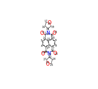 O=C1c2ccc3c4c(ccc(c24)C(=O)N1C1CCOC1)C(=O)N(C1CCOC1)C3=O